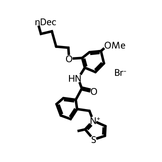 CCCCCCCCCCCCCCOc1cc(OC)ccc1NC(=O)c1ccccc1C[n+]1ccsc1C.[Br-]